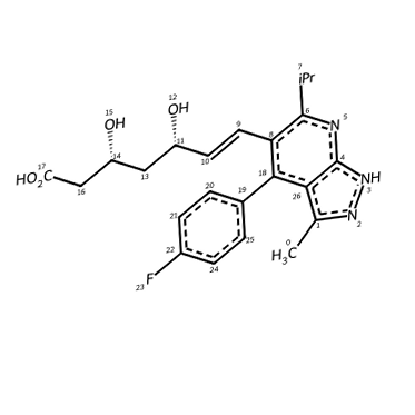 Cc1n[nH]c2nc(C(C)C)c(/C=C/[C@@H](O)C[C@@H](O)CC(=O)O)c(-c3ccc(F)cc3)c12